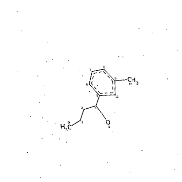 CCCC([O])c1cccc(C)c1